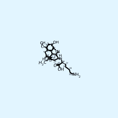 COc1cc(O)c2c3c1C[C@@H]1[C@@H]4CC[C@H](N[C@@H](CCCCN)C(=O)O)[C@H](O2)[C@]34CCN1C